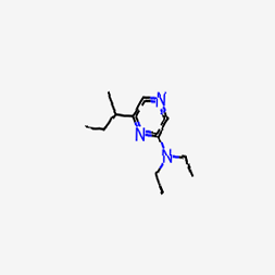 CCC(C)c1cncc(N(CC)CC)n1